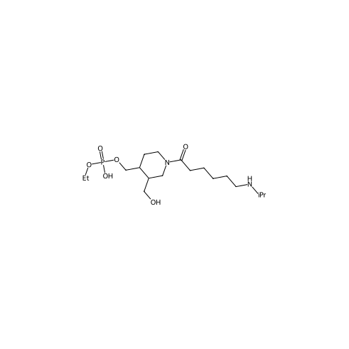 CCOP(=O)(O)OCC1CCN(C(=O)CCCCCNC(C)C)CC1CO